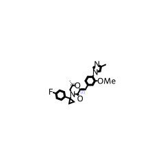 COc1cc(/C=C2\O[C@@H](C)CN(C3(c4ccc(F)cc4)CC3)C2=O)ccc1-n1cnc(C)c1